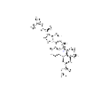 COC(=O)c1ccc(/C(C=O)=C(/Nc2ccc3c(c2)CCN3C(=O)CCN(C)C)c2ccccc2)c(C)c1